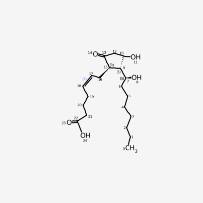 CCCCCCC[C@H](O)[C@H]1C(O)CC(=O)[C@@H]1C/C=C\CCCC(=O)O